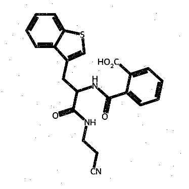 N#CCCNC(=O)C(Cc1csc2ccccc12)NC(=O)c1ccccc1C(=O)O